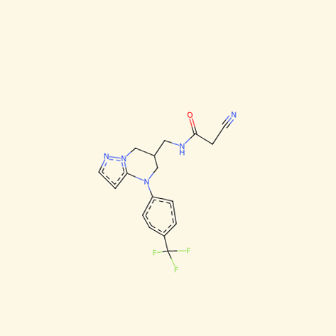 N#CCC(=O)NCC1CN(c2ccc(C(F)(F)F)cc2)c2ccnn2C1